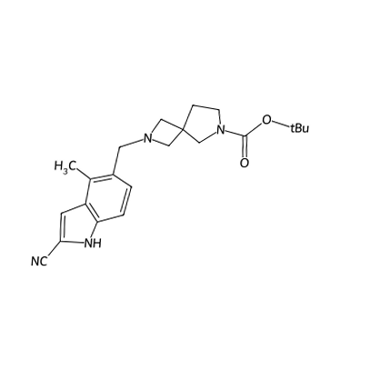 Cc1c(CN2CC3(CCN(C(=O)OC(C)(C)C)C3)C2)ccc2[nH]c(C#N)cc12